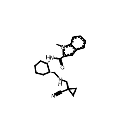 Cn1c(C(=O)N[C@H]2CCCC[C@@H]2CNCC2(C#N)CC2)cc2ccccc21